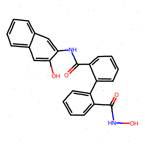 O=C(NO)c1ccccc1-c1ccccc1C(=O)Nc1cc2ccccc2cc1O